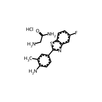 Cc1cc(-c2nc3cc(F)ccc3s2)ccc1N.Cl.NCC(N)=O